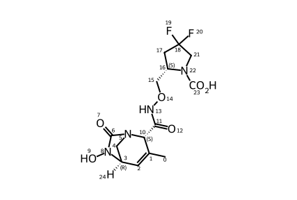 CC1=C[C@@H]2CN(C(=O)N2O)[C@@H]1C(=O)NOC[C@@H]1CC(F)(F)CN1C(=O)O